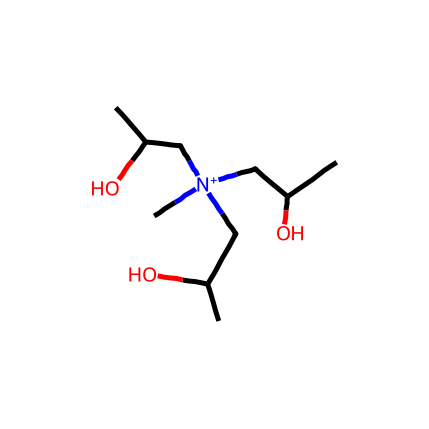 CC(O)C[N+](C)(CC(C)O)CC(C)O